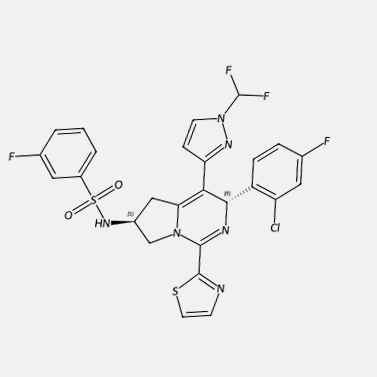 O=S(=O)(N[C@H]1CC2=C(c3ccn(C(F)F)n3)[C@H](c3ccc(F)cc3Cl)N=C(c3nccs3)N2C1)c1cccc(F)c1